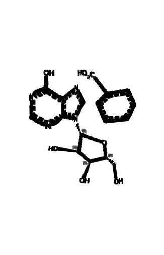 O=C(O)c1ccccc1.OC[C@H]1O[C@@H](n2cnc3c(O)ncnc32)[C@H](O)[C@@H]1O